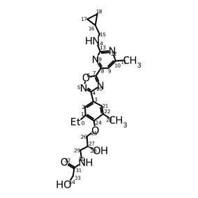 CCc1cc(-c2noc(-c3cc(C)nc(NCC4CC4)n3)n2)cc(C)c1OC[C@@H](O)CNC(=O)CO